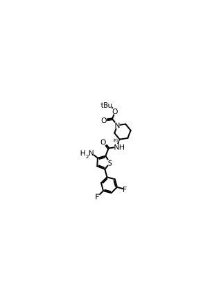 CC(C)(C)OC(=O)N1CCC[C@@H](NC(=O)c2sc(-c3cc(F)cc(F)c3)cc2N)C1